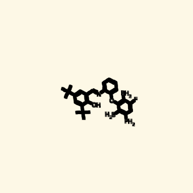 Bc1c(F)cc(P)c(B)c1Oc1ccccc1/N=C/c1cc(C(C)(C)C)cc(C(C)(C)C)c1O